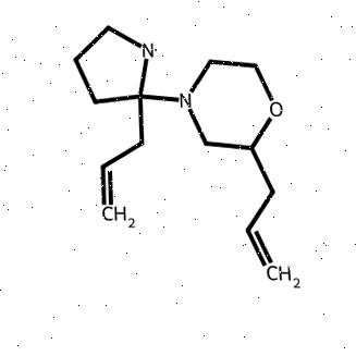 C=CCC1CN(C2(CC=C)CCC[N]2)CCO1